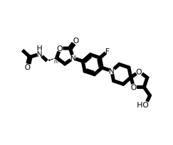 CC(=O)NC[C@H]1CN(c2ccc(N3CCC4(CC3)OCC(CO)O4)c(F)c2)C(=O)O1